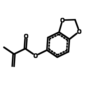 C=C(C)C(=O)Oc1ccc2c(c1)OCO2